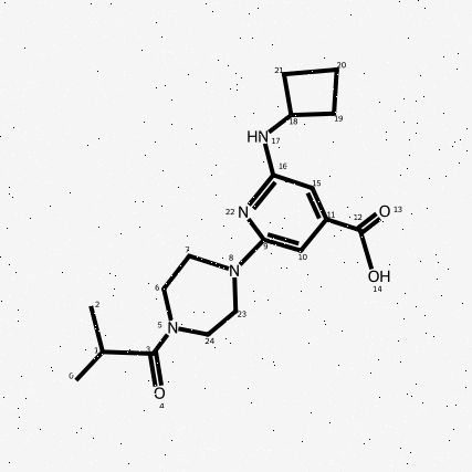 CC(C)C(=O)N1CCN(c2cc(C(=O)O)cc(NC3CCC3)n2)CC1